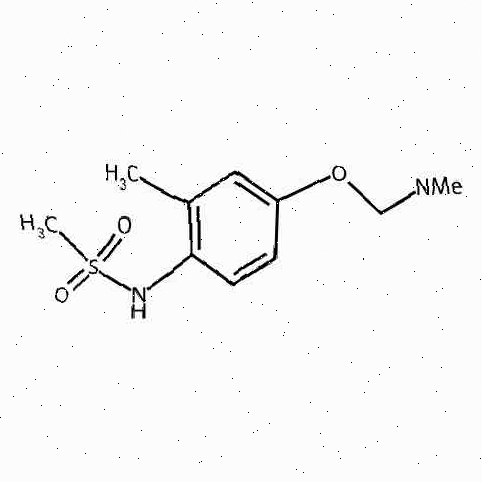 CNCOc1ccc(NS(C)(=O)=O)c(C)c1